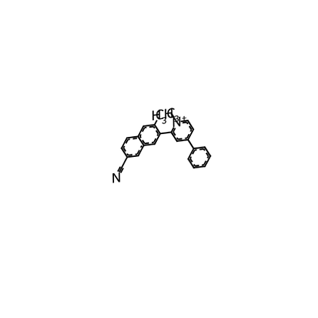 Cc1cc2ccc(C#N)cc2cc1-c1cc(-c2ccccc2)cc[n+]1C